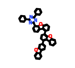 c1ccc(-c2nc(-c3ccccc3)nc(-c3cccc4c3oc3cccc(-c5ccc(-c6ccc7c(c6)oc6ccccc67)c6c5oc5ccccc56)c34)n2)cc1